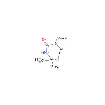 CCCC(C)C1CCC(C)(C)NC1=O